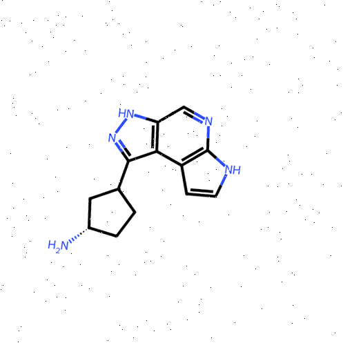 N[C@H]1CCC(c2n[nH]c3cnc4[nH]ccc4c23)C1